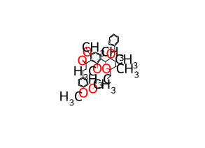 CCC1OC(c2c(C)cc(OC)c(C(=O)CCc3ccc(OC)c(OC)c3)c2OC)C(OCc2ccccc2)C(C)C1C